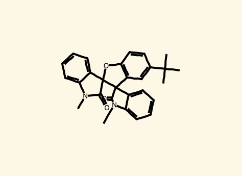 CN1C(=O)C2(Oc3ccc(C(C)(C)C)cc3C23C(=O)N(C)c2ccccc23)c2ccccc21